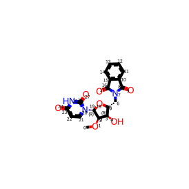 CO[C@@H]1[C@H](O)[C@@H](CN2C(=O)c3ccccc3C2=O)O[C@H]1n1ccc(=O)[nH]c1=O